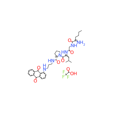 CCCC[C@H](N)C(=O)NCC(=O)N[C@@H](CC(C)C)C(=O)N1CCC[C@H]1C(=O)NCCCNc1cccc2c1C(=O)c1ccccc1C2=O.O=C(O)C(F)(F)F